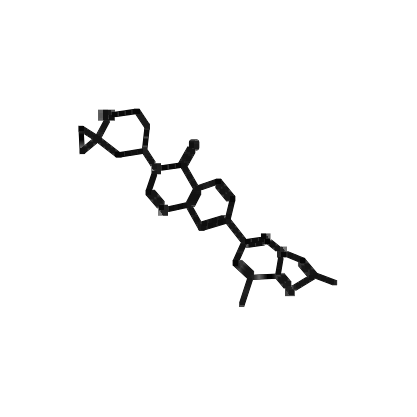 Cc1cn2nc(-c3ccc4c(=O)n(C5CCNC6(CC6)C5)cnc4c3)cc(C)c2n1